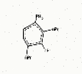 CCCc1ccc(P)c(CCC)c1CCC